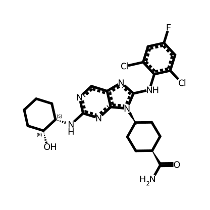 NC(=O)[C@H]1CC[C@@H](n2c(Nc3c(Cl)cc(F)cc3Cl)nc3cnc(N[C@H]4CCCC[C@H]4O)nc32)CC1